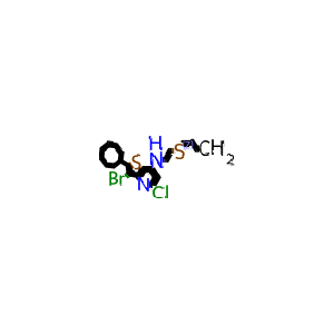 C=C/C=C\SCCNc1cc(Cl)nc2c(Br)c(C3CCCCCCC3)sc12